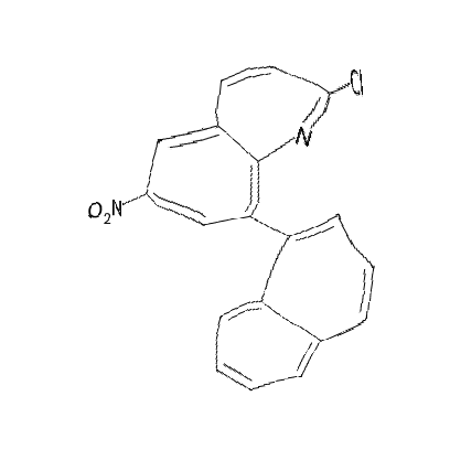 O=[N+]([O-])c1cc(-c2cccc3ccccc23)c2nc(Cl)ccc2c1